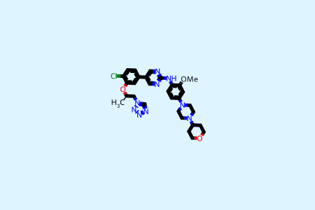 COc1cc(N2CCN(C3CCOCC3)CC2)ccc1Nc1ncc(-c2ccc(Cl)c(O[C@@H](C)Cn3cnnn3)c2)cn1